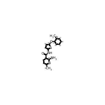 Cc1ccc(C(=O)Nc2ccc(Oc3ccccc3C)s2)c(N)n1